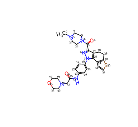 CN1CCN(C(=O)c2nn(-c3ccc(NC(=O)CN4CCOCC4)cc3)c3c2CCc2sccc2-3)CC1